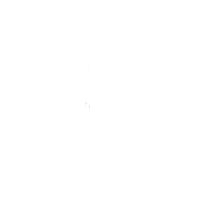 Cc1ccc(NCC(O)c2ccccc2Cl)cc1